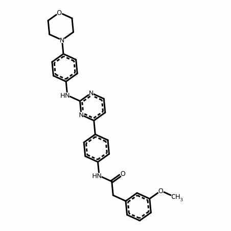 COc1cccc(CC(=O)Nc2ccc(-c3ccnc(Nc4ccc(N5CCOCC5)cc4)n3)cc2)c1